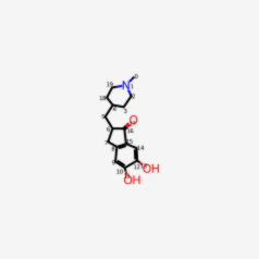 CN1CCC(CC2Cc3cc(O)c(O)cc3C2=O)CC1